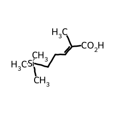 CC(=CCC[Si](C)(C)C)C(=O)O